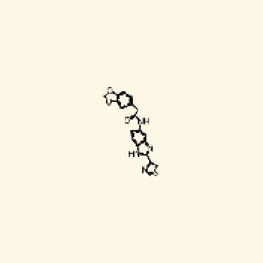 O=C(Cc1ccc2c(c1)OCO2)Nc1ccc2[nH]c(-c3cscn3)nc2c1